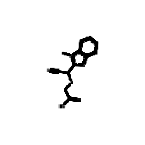 Cn1c(C(C#N)SCC(=O)O)nc2ccccc21